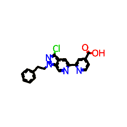 O=C(O)c1ccnc(-c2cc3c(Cl)nn(CCc4ccccc4)c3cn2)c1